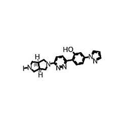 Oc1cc(-n2cccn2)ccc1-c1ccc(N2C[C@H]3CN(I)C[C@H]3C2)nn1